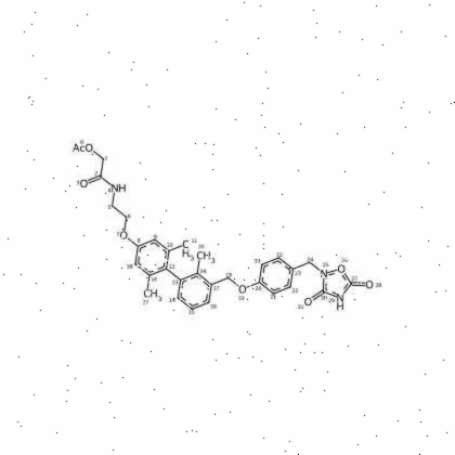 CC(=O)OCC(=O)NCCOc1cc(C)c(-c2cccc(COc3ccc(Cn4oc(=O)[nH]c4=O)cc3)c2C)c(C)c1